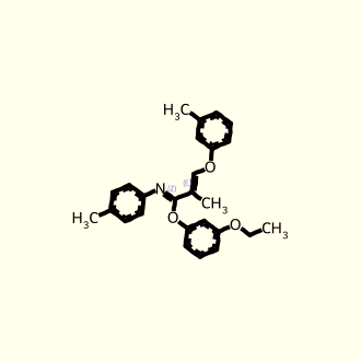 CCOc1cccc(OC(=N\c2ccc(C)cc2)/C(C)=C/Oc2cccc(C)c2)c1